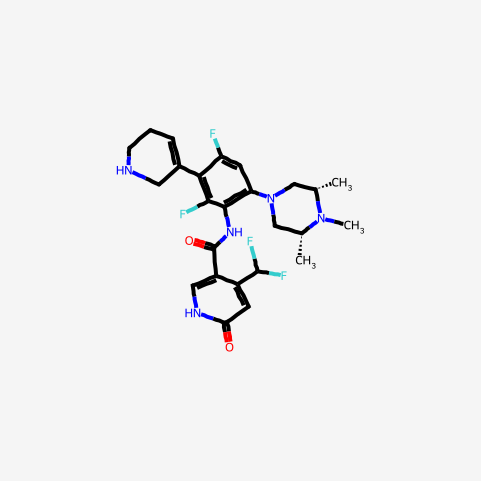 C[C@@H]1CN(c2cc(F)c(C3=CCCNC3)c(F)c2NC(=O)c2c[nH]c(=O)cc2C(F)F)C[C@H](C)N1C